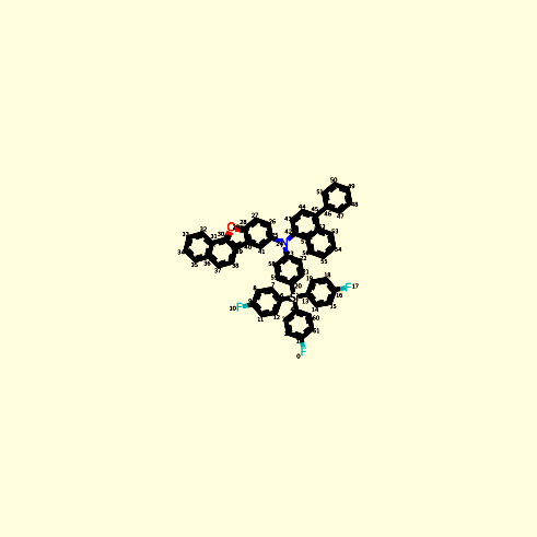 Fc1ccc([Si](c2ccc(F)cc2)(c2ccc(F)cc2)c2ccc(N(c3ccc4oc5c6ccccc6ccc5c4c3)c3ccc(-c4ccccc4)c4ccccc34)cc2)cc1